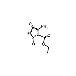 CCOC(=O)c1c(N)c(=O)[nH][s+]1[O-]